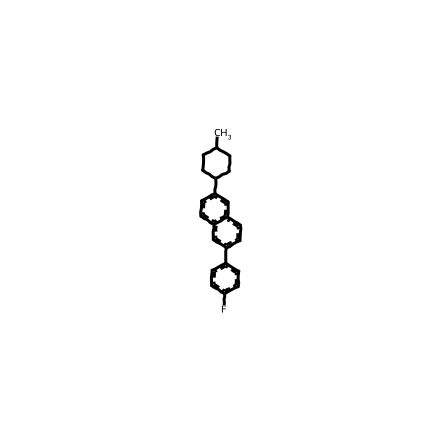 CC1CCC(c2ccc3cc(-c4ccc(F)cc4)ccc3c2)CC1